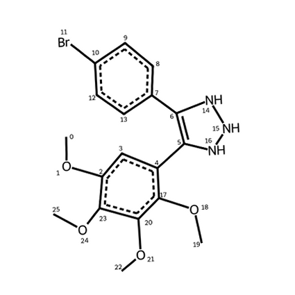 COc1cc(C2=C(c3ccc(Br)cc3)NNN2)c(OC)c(OC)c1OC